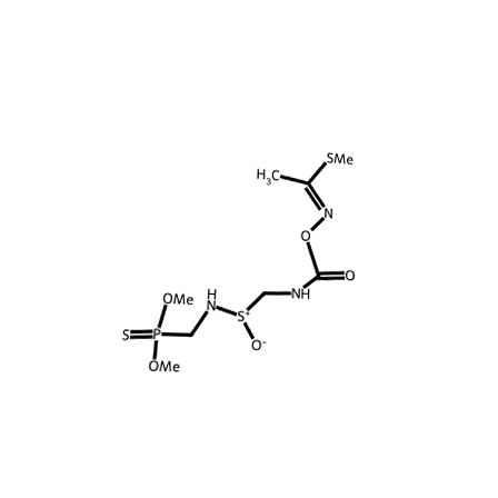 COP(=S)(CN[S+]([O-])CNC(=O)ON=C(C)SC)OC